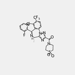 C[C@@H]1N=C(c2ncccc2F)c2c(ccc(C(F)(F)F)c2Cl)-n2nc(C(=O)N3CCS(=O)(=O)CC3)nc21